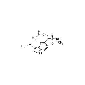 CCc1c[nH]c2ccc(CS(=O)(=O)NC)cc12.CNC